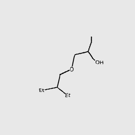 CCC(CC)COCC(C)O